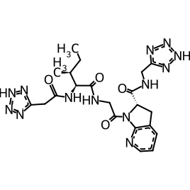 CC[C@H](C)[C@H](NC(=O)Cc1nn[nH]n1)C(=O)NCC(=O)N1c2ncccc2C[C@H]1C(=O)NCc1nn[nH]n1